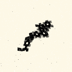 CC(C)COC(=O)N1CCC(NS(=O)(=O)c2ccc(-c3ccnc4c3cc(C(F)F)n4S(=O)(=O)c3ccccc3)nc2)CC1